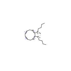 CCCC[P@@](C)C1=N/C/C=C\C=C/C/N=C\1[P@](C)CCCC